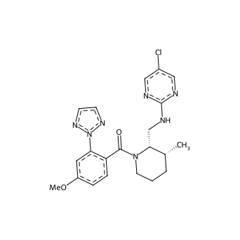 COc1ccc(C(=O)N2CCC[C@@H](C)[C@H]2CNc2ncc(Cl)cn2)c(-n2nccn2)c1